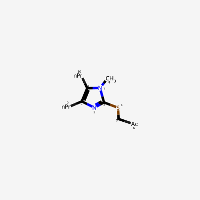 CCCc1nc(SCC(C)=O)n(C)c1CCC